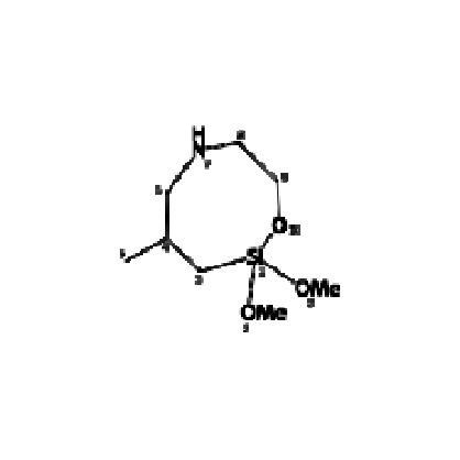 CO[Si]1(OC)CC(C)CNCCO1